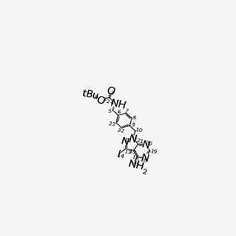 CC(C)(C)OC(=O)NCc1ccc(Cn2nc(I)c3c(N)ncnc32)cc1